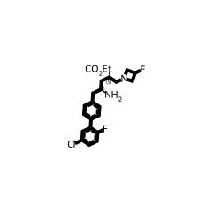 CCOC(=O)[C@@H](C[C@H](N)Cc1ccc(-c2cc(Cl)ccc2F)cc1)CN1CC(F)C1